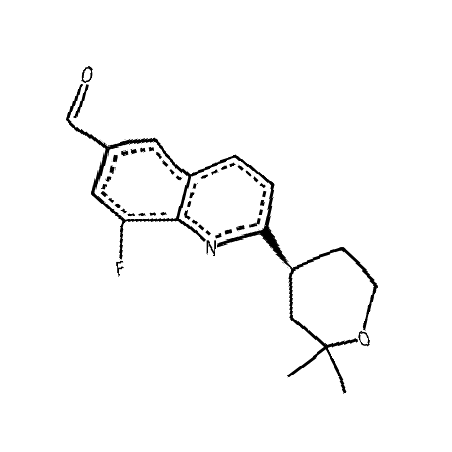 CC1(C)C[C@@H](c2ccc3cc(C=O)cc(F)c3n2)CCO1